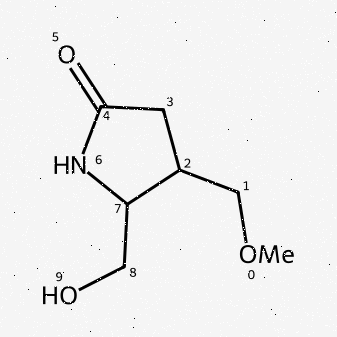 COCC1CC(=O)NC1CO